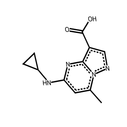 Cc1cc(NC2CC2)nc2c(C(=O)O)cnn12